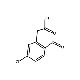 O=Ic1ccc(Cl)cc1CC(=O)O